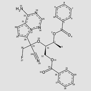 C[C@H](OC(=O)c1ccccc1)[C@@H](COC(=O)c1ccccc1)OC(C#N)(CF)c1ccc2c(N)ncnn12